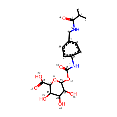 CC(C)C(=O)NCc1ccc(NC(=O)OC2OC(C(=O)O)C(O)C(O)C2O)cc1